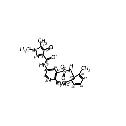 COc1ncc(NC(=O)c2nn(C)c(C)c2Cl)cc1S(=O)(=O)Nc1c(C)cccc1C